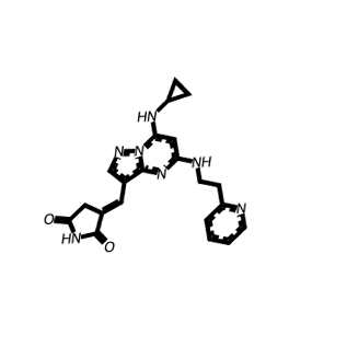 O=C1C/C(=C\c2cnn3c(NC4CC4)cc(NCCc4ccccn4)nc23)C(=O)N1